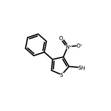 O=[N+]([O-])c1c(-c2ccccc2)csc1S